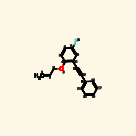 C=CCOc1ccc(F)cc1C#Cc1ccccc1